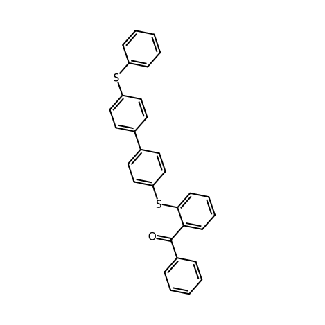 O=C(c1ccccc1)c1ccccc1Sc1ccc(-c2ccc(Sc3ccccc3)cc2)cc1